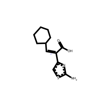 Nc1nc(/C(=C/C2CCCCC2)C(=O)O)cs1